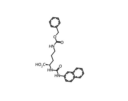 O=C(Nc1ccc2ccccc2c1)N[C@H](CCCNC(=O)OCc1ccccc1)C(=O)O